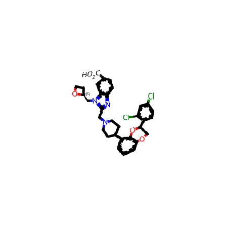 O=C(O)c1ccc2nc(CN3CCC(c4cccc5c4OC(c4ccc(Cl)cc4Cl)CO5)CC3)n(C[C@@H]3CCO3)c2c1